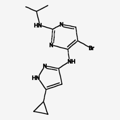 CC(C)Nc1ncc(Br)c(Nc2cc(C3CC3)[nH]n2)n1